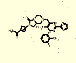 Cc1c(F)cccc1[C@@H]1N=C(c2nccs2)NC(CN2CCN3C(=O)N(C45CC(C(N)=O)(C4)C5)CC3C2)=C1C(=O)O